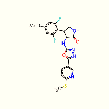 COc1cc(F)c(C2CNC(=O)C2Nc2nnc(-c3ccc(SC(F)(F)F)nc3)o2)c(F)c1